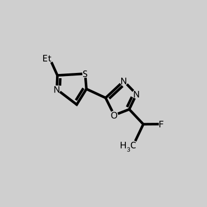 CCc1ncc(-c2nnc(C(C)F)o2)s1